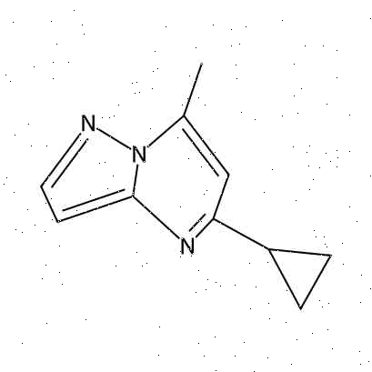 Cc1cc(C2CC2)nc2ccnn12